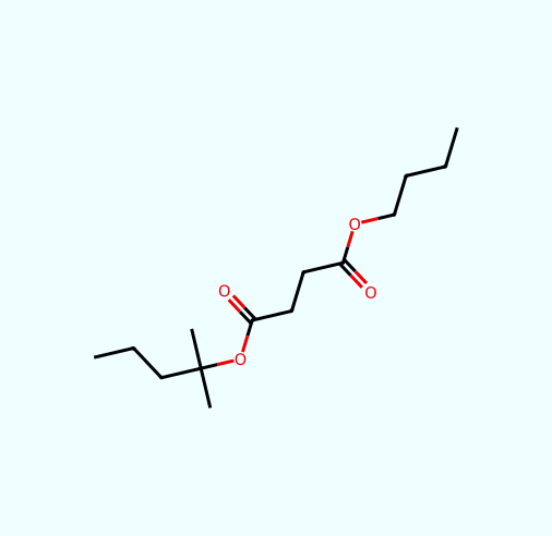 CCCCOC(=O)CCC(=O)OC(C)(C)CCC